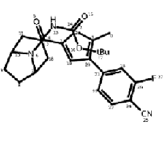 Cc1sc(C(=O)N2C3CCC2CC(NC(=O)OC(C)(C)C)C3)cc1-c1ccc(C#N)c(F)c1